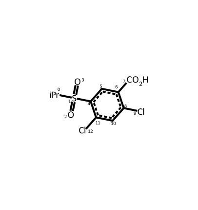 CC(C)S(=O)(=O)c1cc(C(=O)O)c(Cl)cc1Cl